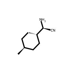 C[C@H]1CC[C@H]([C@@H](N)C#N)CC1